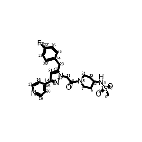 CS(=O)(=O)NC1CCN(C(=O)Cn2nc(-c3ccncc3)cc2Cc2ccc(F)cc2)CC1